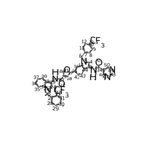 O=C(Nc1cn(Cc2ccc(C(F)(F)F)cc2)c2cc(-c3cc(C(=O)Nc4cn(Cc5ccccc5C(F)(F)F)c5ccccc45)co3)ccc12)c1cncnc1